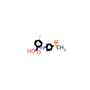 C[S+]([O-])c1ccc(Nc2cc(F)ccc2C(=O)O)cc1